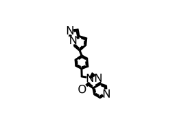 O=c1c2ccncc2ncn1Cc1ccc(-c2ccc3cncn3c2)cc1